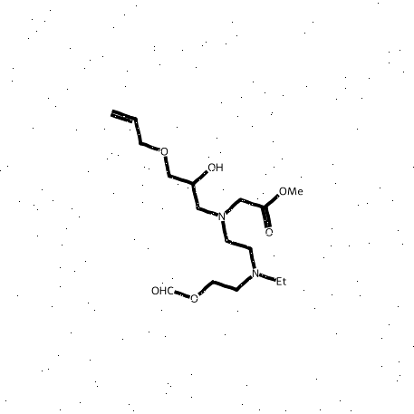 C=CCOCC(O)CN(CCN(CC)CCOC=O)CC(=O)OC